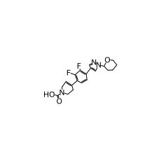 O=C(O)N1CC=C(c2ccc(-c3cnn(C4CCCCO4)c3)c(F)c2F)CC1